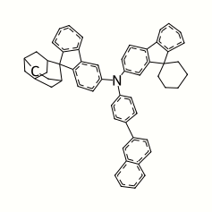 c1ccc2c(c1)-c1ccc(N(c3ccc(-c4ccc5ccccc5c4)cc3)c3ccc4c(c3)-c3ccccc3C43C4CCC5CC(C4)CC3C5)cc1C21CCCCC1